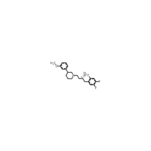 COc1cccc(C2CCCN(CC[C@H](N)Cc3cc(F)c(F)cc3F)C2)c1